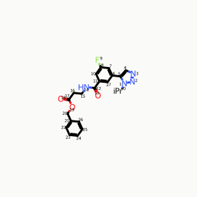 CC(C)n1nncc1-c1cc(F)cc(C(=O)NCCC(=O)OCc2ccccc2)c1